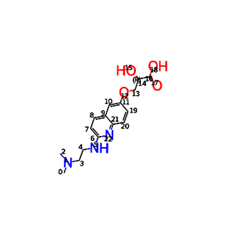 CN(C)CCNc1ccc2cc(OC[C@@H](O)C(=O)O)ccc2n1